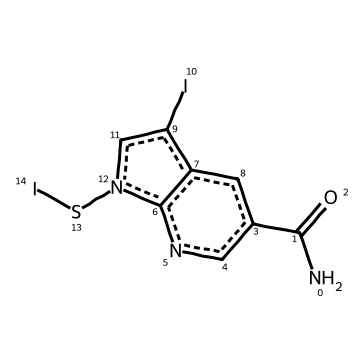 NC(=O)c1cnc2c(c1)c(I)cn2SI